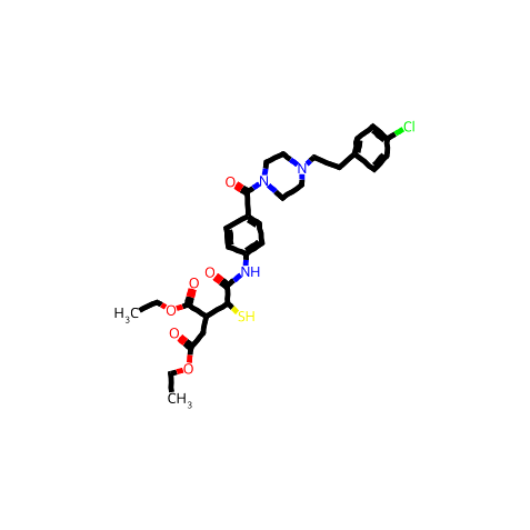 CCOC(=O)CC(C(=O)OCC)C(S)C(=O)Nc1ccc(C(=O)N2CCN(CCc3ccc(Cl)cc3)CC2)cc1